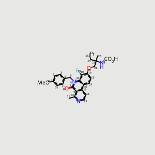 COc1ccc(Cn2c(=O)c3c(C)nccc3c3ccc(OCC(C)(CC(C)C)NC(=O)O)c(F)c32)cc1